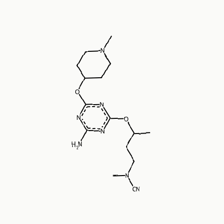 CC(CCN(C)C#N)Oc1nc(N)nc(OC2CCN(C)CC2)n1